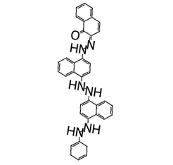 O=C1/C(=N\Nc2ccc(NNc3ccc(NNC4=CCC=CC4)c4ccccc34)c3ccccc23)C=Cc2ccccc21